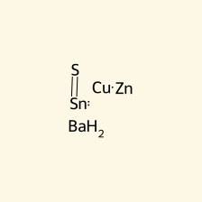 [BaH2].[Cu].[S]=[Sn].[Zn]